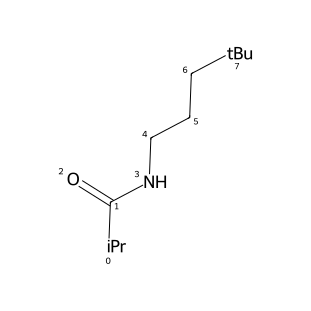 CC(C)C(=O)NCCCC(C)(C)C